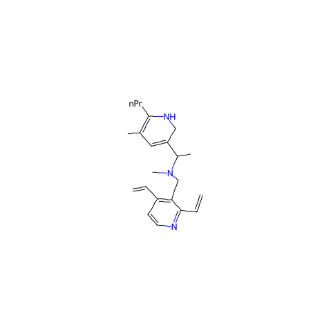 C=Cc1ccnc(C=C)c1CN(C)C(C)C1=CC(C)=C(CCC)NC1